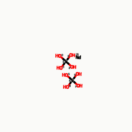 O[Si](O)(O)O.O[Si](O)(O)O.[Nd]